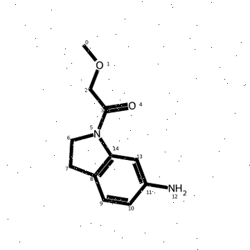 COCC(=O)N1CCc2ccc(N)cc21